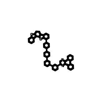 c1cc(-c2ccc(-c3ccc(-c4cccc5c4oc4c5ccc5oc6ccccc6c54)cc3)cc2)cc(-c2cccc(-c3cnc4c5ccccc5c5ccccc5c4n3)c2)c1